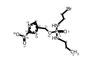 CCCNP(=O)(NCCBr)OCc1cnc([N+](=O)[O-])s1